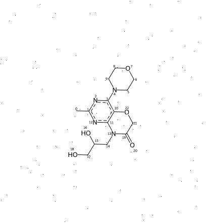 Cc1nc(N2CCOCC2)c2c(n1)N(CC(O)CO)C(=O)CO2